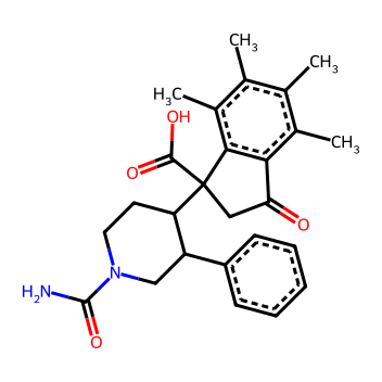 Cc1c(C)c(C)c2c(c1C)C(=O)CC2(C(=O)O)C1CCN(C(N)=O)CC1c1ccccc1